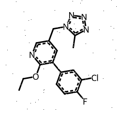 CCOc1ncc(Cn2nnnc2C)cc1-c1ccc(F)c(Cl)c1